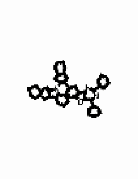 c1ccc(-c2nc(-c3ccccc3)c3oc4ccc(-c5cc6ccccc6cc5-n5c6ccccc6c6cc7ccccc7cc65)cc4c3n2)cc1